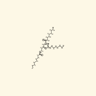 CCCCCCCCC(=O)OCCC(COC(=O)CCCCCCCC)OC(=O)CCCCCCCC